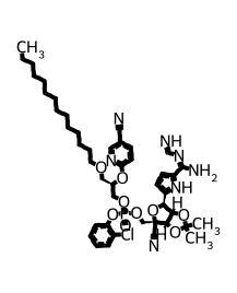 CCCCCCCCCCCCCCOC[C@H](COP(=O)(OC[C@@]1(C#N)O[C@@H](c2ccc(/C(N)=N\C=N)[nH]2)[C@@H]2OC(C)(C)O[C@@H]21)Oc1ccccc1Cl)Oc1ccc(C#N)cn1